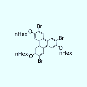 CCCCCCOc1cc2c(cc1Br)c1cc(Br)c(OCCCCCC)cc1c1cc(OCCCCCC)c(Br)cc21